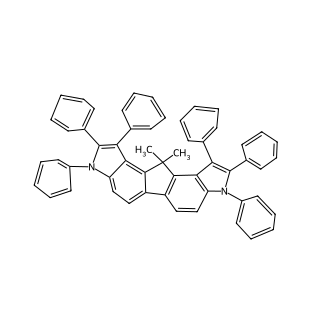 CC1(C)c2c(ccc3c2c(-c2ccccc2)c(-c2ccccc2)n3-c2ccccc2)-c2ccc3c(c(-c4ccccc4)c(-c4ccccc4)n3-c3ccccc3)c21